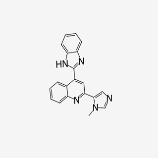 Cn1cncc1-c1cc(-c2nc3ccccc3[nH]2)c2ccccc2n1